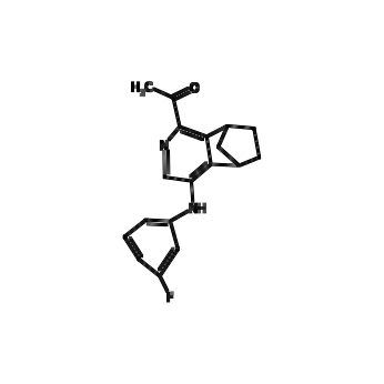 CC(=O)c1ncc(Nc2cccc(F)c2)c2c1C1CCC2C1